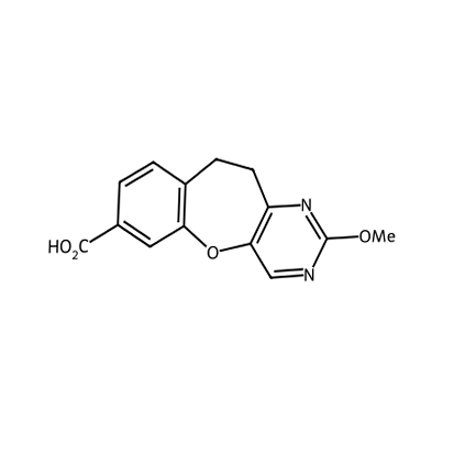 COc1ncc2c(n1)CCc1ccc(C(=O)O)cc1O2